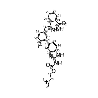 CN(C)CCOC(=O)Nc1nc2cc(-c3cc(Cc4n[nH]c(=O)c5ccccc45)ccc3F)ccc2[nH]1